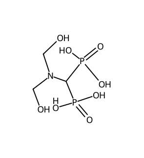 O=P(O)(O)C(N(CO)CO)P(=O)(O)O